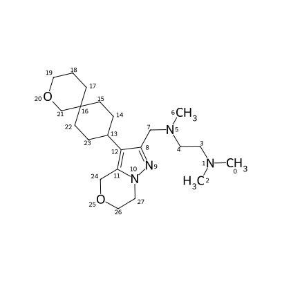 CN(C)CCN(C)Cc1nn2c(c1C1CCC3(CCCOC3)CC1)COCC2